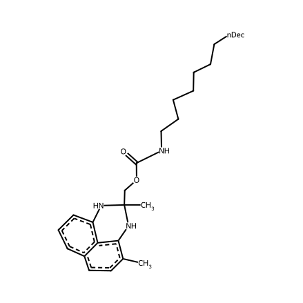 CCCCCCCCCCCCCCCCCNC(=O)OCC1(C)Nc2cccc3ccc(C)c(c23)N1